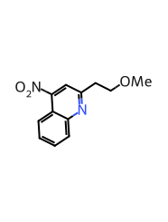 COCCc1cc([N+](=O)[O-])c2ccccc2n1